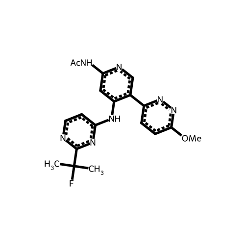 COc1ccc(-c2cnc(NC(C)=O)cc2Nc2ccnc(C(C)(C)F)n2)nn1